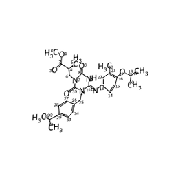 COC(=O)[C@@H](C)Cn1c(=O)[nH]/c(=N\c2ccc(OC(C)C)c(C)c2)n(Cc2ccc(C(C)C)cc2)c1=O